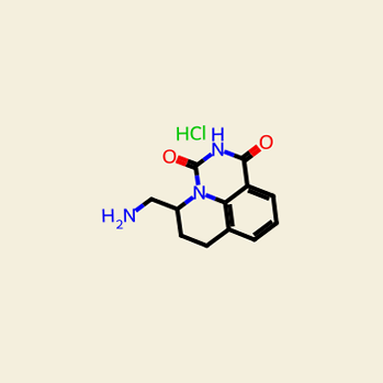 Cl.NCC1CCc2cccc3c(=O)[nH]c(=O)n1c23